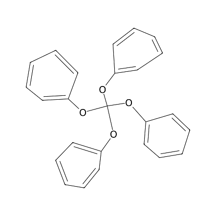 c1ccc(OC(Oc2ccccc2)(Oc2ccccc2)Oc2ccccc2)cc1